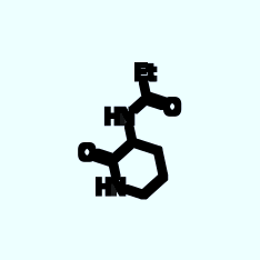 CCC(=O)NC1CCCNC1=O